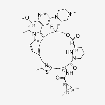 CCn1c(-c2cc(N3CCN(C)CC3)cnc2[C@H](C)OC)c2c3cc(ccc31)C1N=C(C[C@H](NC(=O)[C@H]3[C@H](C)[C@@H]3C)C(=O)N3CCC[C@H](N3)C(=O)OCC(F)(F)C2)SC1C